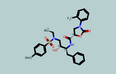 CC[C@H](C)CN(C[C@@H](O)[C@H](Cc1ccccc1)NC(=O)[C@@H]1CN(c2ccccc2C(F)(F)F)C(=O)O1)S(=O)(=O)c1ccc(OC)cc1